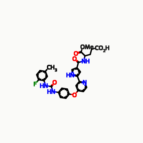 COC(=O)C(CCC(=O)O)NC(=O)c1c[nH]c(-c2cc(Oc3ccc(NC(=O)Nc4cc(C)ccc4F)cc3)ccn2)c1